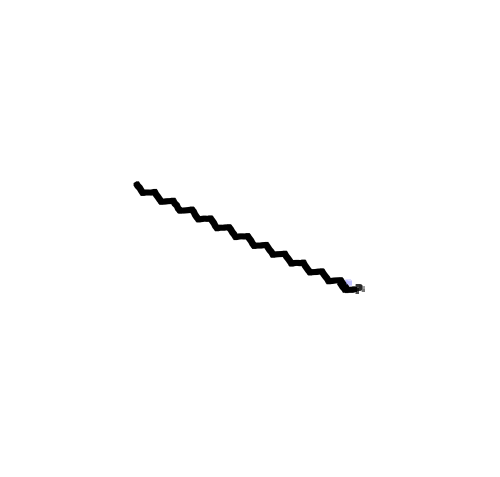 CCCCCCCCCCCCCCCCCCCCCC/C=C/[P]